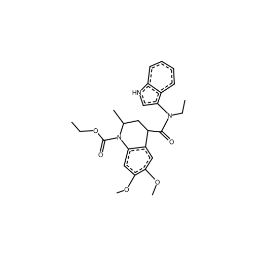 CCOC(=O)N1c2cc(OC)c(OC)cc2C(C(=O)N(CC)c2c[nH]c3ccccc23)CC1C